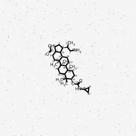 CC(CN)[C@@H]1CC[C@]2(C(=O)O)CC[C@]3(C)C(CCC4[C@@]5(C)CC[C@@H](OC(=O)NC6CC6)C(C)(C)C5CC[C@]43C)C12